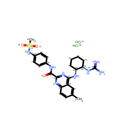 Cc1ccc2nc(C(=O)Nc3ccc(NS(C)(=O)=O)cc3)nc(N[C@H]3CCCC[C@H]3NC(=N)N)c2c1.Cl.Cl